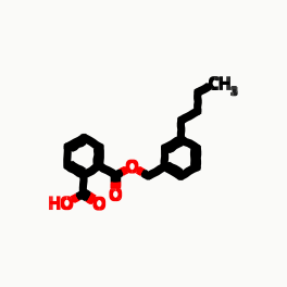 CCCCc1cccc(COC(=O)c2ccccc2C(=O)O)c1